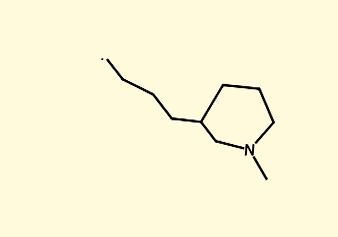 [CH2]CCCC1CCCN(C)C1